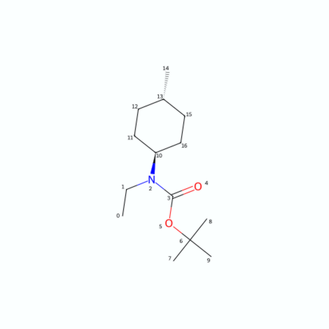 CCN(C(=O)OC(C)(C)C)[C@H]1CC[C@H](C)CC1